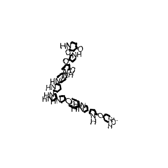 C1=CNNC1.C1CCNC1.C1CCNCC1.C1CCOCC1.C1CNCCN1.C1CNNC1.O=C1CCCN1.O=C1CCCN1.O=C1CCNC1=O.O=C1CCNCC1.[O-][NH+]1CCCCC1